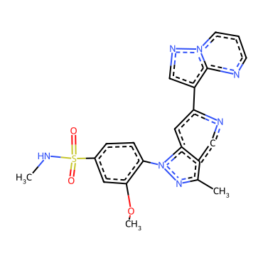 CNS(=O)(=O)c1ccc(-n2nc(C)c3cnc(-c4cnn5cccnc45)cc32)c(OC)c1